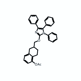 CC(=O)Oc1cccc2c1CCC(COc1nc(-c3ccccc3)c(-c3ccccc3)n1-c1ccccc1)C2